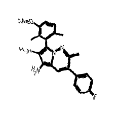 COc1ccc(C)c(-c2c(N)c(N)c3cc(-c4ccc(F)cc4)c(C)nn23)c1C